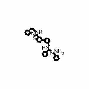 N/C(=N\CC(NCc1cccc(-c2ccc3sc4c(c3c2)NC2C=Cc3ccccc3N42)c1)c1ccccc1)c1ccccc1